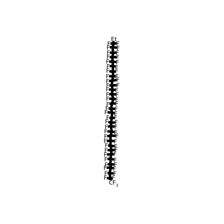 CCC(F)(F)C(F)(F)C(F)(F)C(F)(F)C(F)(F)C(F)(F)C(F)(F)C(F)(F)C(F)(F)C(F)(F)C(F)(F)C(F)(F)C(F)(F)C(F)(F)C(F)(F)C(F)(F)C(F)(F)C(F)(F)C(F)(F)C(F)(F)C(F)(F)C(F)(F)C(F)(F)C(F)(F)C(F)(F)C(F)(F)C(F)(F)C(F)(F)C(F)(F)C(F)(F)C(F)(F)F